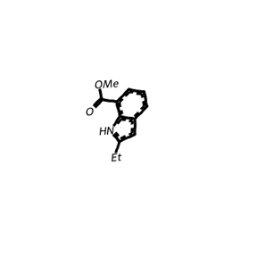 CCc1cc2cccc(C(=O)OC)c2[nH]1